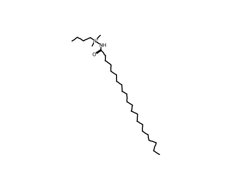 CCCCCCCCCCCCCCCCCCCCCC(=O)N[N+](C)(C)CCCC